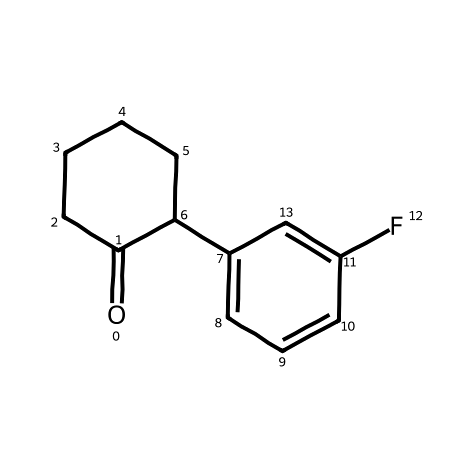 O=C1CCCCC1c1cccc(F)c1